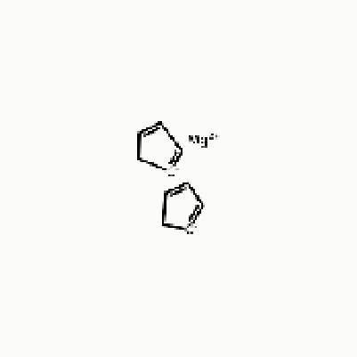 [C-]1=CC=CC1.[C-]1=CC=CC1.[Mg+2]